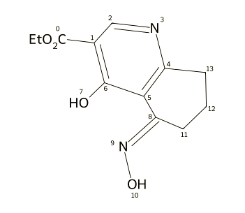 CCOC(=O)c1cnc2c(c1O)C(=NO)CCC2